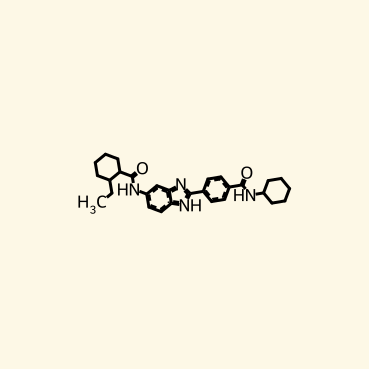 CCC1CCCCC1C(=O)Nc1ccc2[nH]c(-c3ccc(C(=O)NC4CCCCC4)cc3)nc2c1